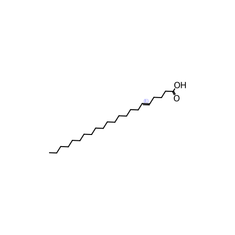 CCCCCCCCCCCCCCCC/C=C/CCCC(=O)O